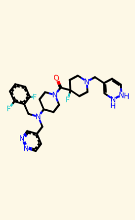 O=C(N1CCC(N(Cc2ccnnc2)Cc2c(F)cccc2F)CC1)C1(F)CCN(CC2=CNNC=C2)CC1